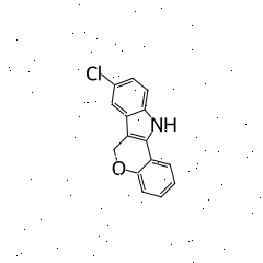 Clc1ccc2[nH]c3c(c2c1)COc1ccccc1-3